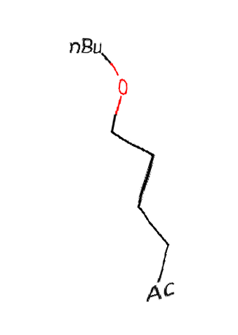 CCCCOCCCCC(C)=O